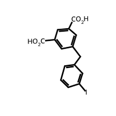 O=C(O)c1cc(Cc2cccc(I)c2)cc(C(=O)O)c1